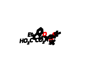 CCC(=C(C(=O)O)C(=O)O)c1cccc(OCC(C)C[Si](C)(O[Si](C)(C)C)O[Si](C)(C)C)c1CC